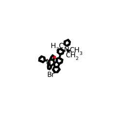 C=C(C)N(c1cccc(-c2ccc3c(c2)C2(c4cc(Br)ccc4-3)c3ccccc3N(c3ccccc3)c3ccccc32)c1)c1ccccc1C